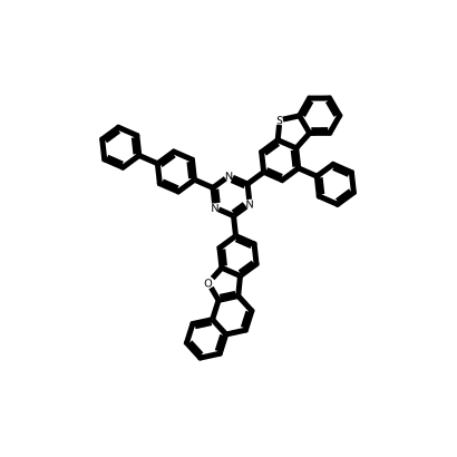 c1ccc(-c2ccc(-c3nc(-c4ccc5c(c4)oc4c6ccccc6ccc54)nc(-c4cc(-c5ccccc5)c5c(c4)sc4ccccc45)n3)cc2)cc1